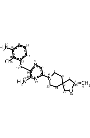 C[C@@H]1CC2(CCN(c3cnc(Sc4cccc(N)c4Cl)c(N)n3)CC2)CO1